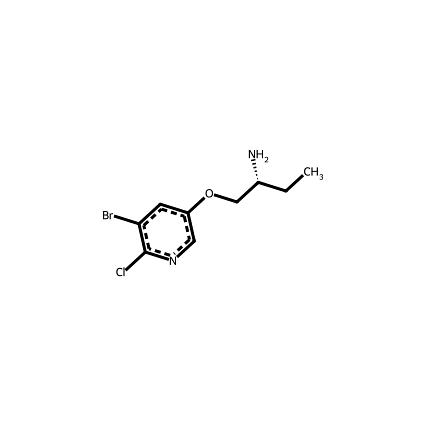 CC[C@@H](N)COc1cnc(Cl)c(Br)c1